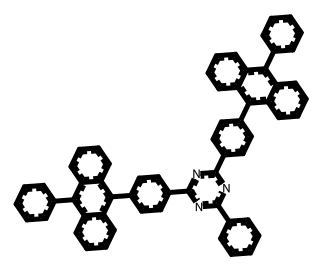 c1ccc(-c2nc(-c3ccc(-c4c5ccccc5c(-c5ccccc5)c5ccccc45)cc3)nc(-c3ccc(-c4c5ccccc5c(-c5ccccc5)c5ccccc45)cc3)n2)cc1